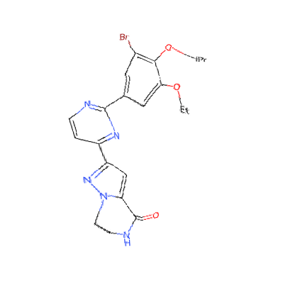 CCOc1cc(-c2nccc(-c3cc4n(n3)CCNC4=O)n2)cc(Br)c1OC(C)C